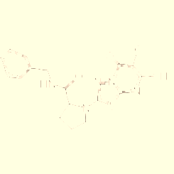 Cc1nc2sc(N3CCCC3C(=O)NCc3ccccc3)nn2c(=O)c1Cl